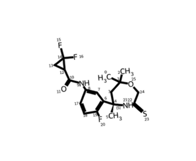 CC1(C)C[C@@](C)(c2cc(NC(=O)C3CC3(F)F)ccc2F)NC(=S)CO1